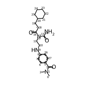 CN(C)C(=O)c1ccc(NCCN(C(N)=O)C(=O)[CH]CC2CCCCC2)cc1